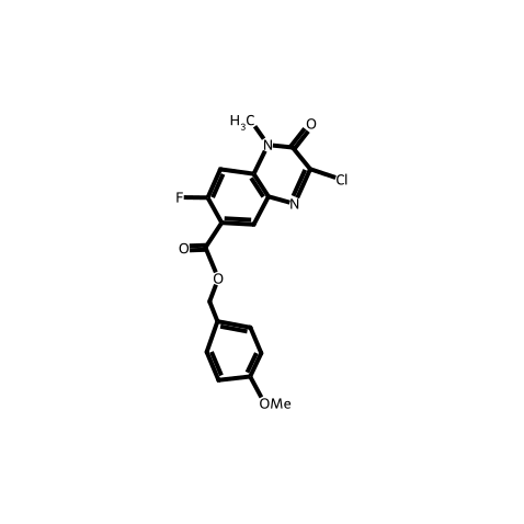 COc1ccc(COC(=O)c2cc3nc(Cl)c(=O)n(C)c3cc2F)cc1